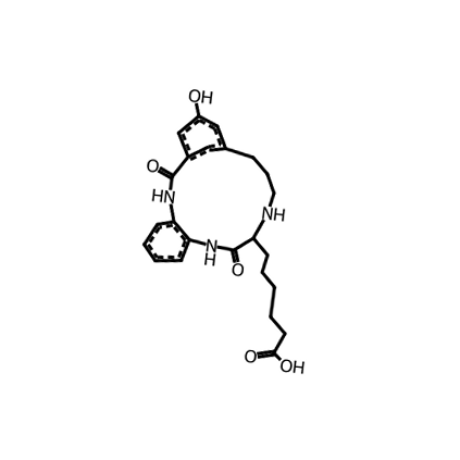 O=C(O)CCCCCC1NCCCc2cc(O)cc(c2)C(=O)Nc2ccccc2NC1=O